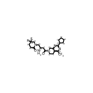 N[C@@H](CC(=O)N1CCc2c(nc(C3CCCC3)nc2C(F)(F)F)C1)CN1CC(F)(F)CCC1=O